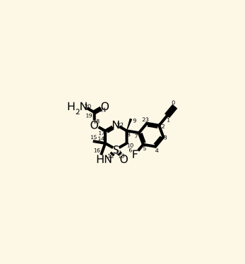 C#Cc1ccc(F)c([C@]2(C)CS(=N)(=O)C(C)(C)C(OC(N)=O)=N2)c1